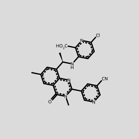 Cc1cc([C@@H](C)Nc2ccc(Cl)nc2C(=O)O)c2nc(-c3cncc(C#N)c3)n(C)c(=O)c2c1